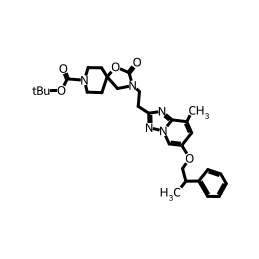 Cc1cc(OCC(C)c2ccccc2)cn2nc(CCN3CC4(CCN(C(=O)OC(C)(C)C)CC4)OC3=O)nc12